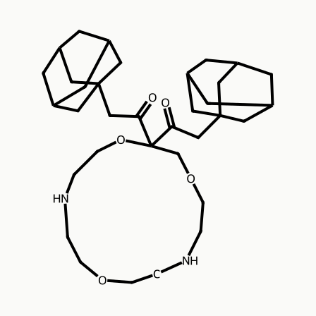 O=C(CC12CC3CC(CC(C3)C1)C2)C1(C(=O)CC23CC4CC(CC(C4)C2)C3)COCCNCCOCCNCCO1